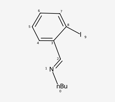 CCCC/N=C/c1ccccc1I